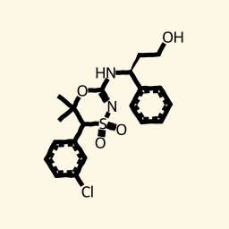 CC1(C)OC(N[C@@H](CCO)c2ccccc2)=NS(=O)(=O)C1c1cccc(Cl)c1